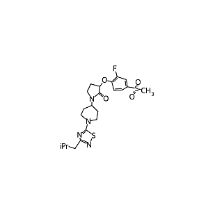 CC(C)Cc1nsc(N2CCC(N3CCC(Oc4ccc(S(C)(=O)=O)cc4F)C3=O)CC2)n1